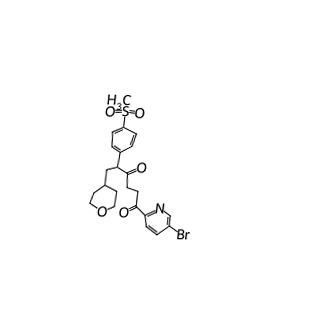 CS(=O)(=O)c1ccc(C(CC2CCOCC2)C(=O)CCC(=O)c2ccc(Br)cn2)cc1